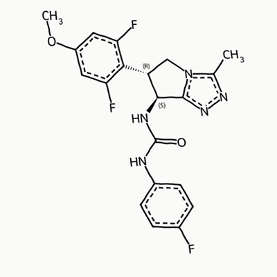 COc1cc(F)c([C@@H]2Cn3c(C)nnc3[C@H]2NC(=O)Nc2ccc(F)cc2)c(F)c1